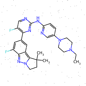 CCN1CCN(c2ccc(Nc3ncc(F)c(-c4cc(F)c5nn6c(c5c4)C(C)(C)CC6)n3)nc2)CC1